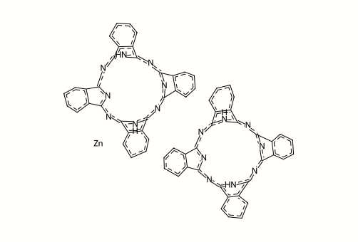 [Zn].c1ccc2c(c1)-c1nc-2nc2[nH]c(nc3nc(nc4[nH]c(n1)c1ccccc41)-c1ccccc1-3)c1ccccc21.c1ccc2c(c1)-c1nc-2nc2[nH]c(nc3nc(nc4[nH]c(n1)c1ccccc41)-c1ccccc1-3)c1ccccc21